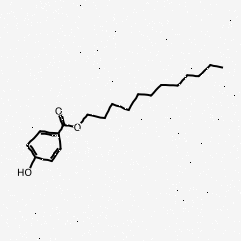 CCCCCCCCCCCCOC(=O)c1ccc(O)cc1